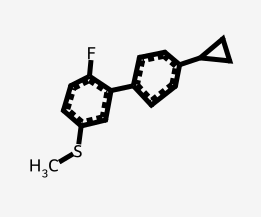 CSc1ccc(F)c(-c2ccc(C3CC3)cc2)c1